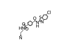 N#CCCNS(=O)(=O)c1ccc(C(=O)Nc2nc3ccc(Cl)cc3s2)cc1